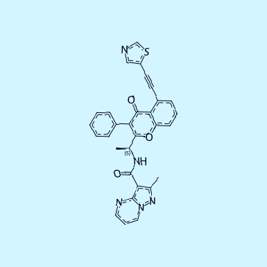 Cc1nn2cccnc2c1C(=O)N[C@@H](C)c1oc2cccc(C#Cc3cncs3)c2c(=O)c1-c1ccccc1